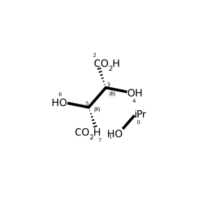 CC(C)O.O=C(O)[C@H](O)[C@@H](O)C(=O)O